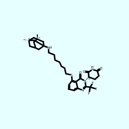 C[C@]12CC3CC(NCCCCCCCSc4cccc5nc(C(F)(F)F)n([C@H]6CCC(=O)NC6=O)c(=O)c45)(C1)C[C@@](C)(C3)C2